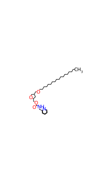 CCCCCCCCCCCCCCCCCCOCC1COC(COC(=O)NCc2ccccn2)C1